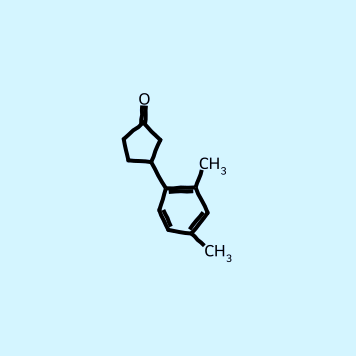 Cc1ccc(C2CCC(=O)C2)c(C)c1